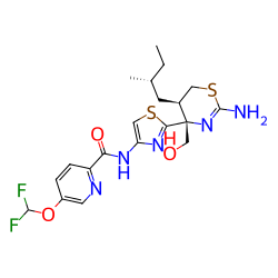 CC[C@@H](C)C[C@H]1CSC(N)=N[C@]1(CO)c1nc(NC(=O)c2ccc(OC(F)F)cn2)cs1